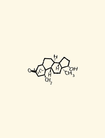 C[C@H]1CC(=O)CC2CC[C@H]3[C@@H]4CC[C@H](O)[C@@]4(C)CC[C@@H]3[C@]21C